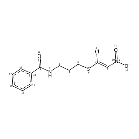 O=C(NCCCSC(Cl)=C[N+](=O)[O-])c1ccccc1